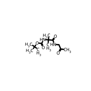 CC(=O)CNC(=O)C(C)(C)NC(=O)OC(C)(C)C